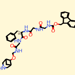 O=C(CNC(=O)OCC1c2ccccc2-c2ccccc21)NCC(=O)N[C@@H](Cc1ccccc1)C(=O)NCC(=O)NCOC1C2CNCC1C2